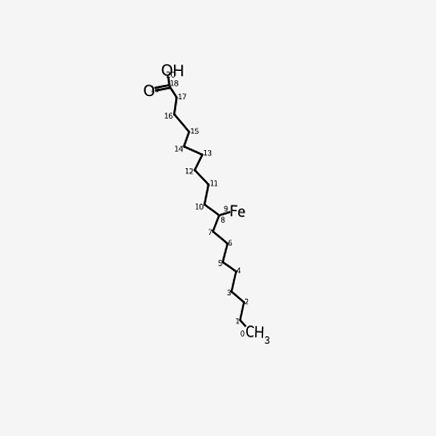 CCCCCCCC[CH]([Fe])CCCCCCCCC(=O)O